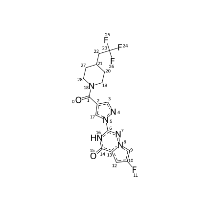 O=C(c1cnn(-c2nn3cc(F)cc3c(=O)[nH]2)c1)N1CCC(CC(F)(F)F)CC1